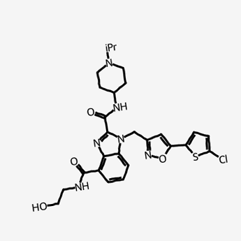 CC(C)N1CCC(NC(=O)c2nc3c(C(=O)NCCO)cccc3n2Cc2cc(-c3ccc(Cl)s3)on2)CC1